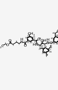 CCOC(=O)CCCNC(=O)c1cc(C)cc(C(=O)N[C@@H](Cc2cc(F)cc(F)c2)[C@@H](O)CNCc2cccc(CC)c2)c1